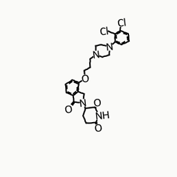 O=C1CCC(N2Cc3c(OCCCN4CCN(c5cccc(Cl)c5Cl)CC4)cccc3C2=O)C(=O)N1